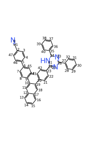 N#Cc1ccc(-c2ccc(-c3cc4ccccc4cc3-c3ccc(C4=NC(c5ccccc5)=NC(c5ccccc5)N4)cc3)cc2)cc1